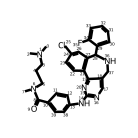 CN(C)CCCN(C)C(=O)c1ccc(Nc2ncc3c(n2)-c2ccc(Cl)cc2C(c2ccccc2F)NC3)cc1